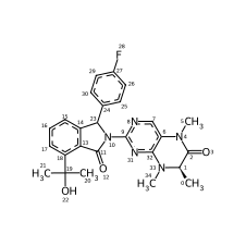 C[C@@H]1C(=O)N(C)c2cnc(N3C(=O)c4c(cccc4C(C)(C)O)C3c3ccc(F)cc3)nc2N1C